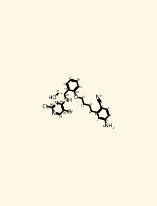 N#Cc1ccc(N)cc1CCCCOc1ccccc1[C@@H](CO)Nc1nc(Cl)ncc1Br